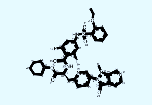 CCOc1ccccc1S(=O)(=O)Nc1cc(F)c(C(=O)N[C@@H](Cc2ccc(-n3c(=O)c4ccncc4n3C)cn2)C(=O)OC2CCCCC2)c(F)c1